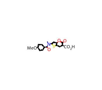 COc1ccc(C(=O)N(C)c2cc3oc(=O)c(C(=O)O)cc3s2)cc1